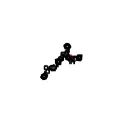 CC(C)c1cc(C(=O)N2Cc3ccc(CN4CCN(C(=O)OCc5ccccc5)CC4)cc3C2)c(OCc2ccccc2)cc1OCc1ccccc1